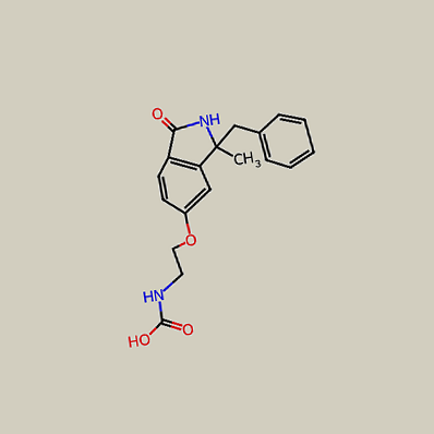 CC1(Cc2ccccc2)NC(=O)c2ccc(OCCNC(=O)O)cc21